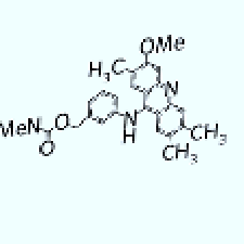 CNC(=O)OCc1cccc(Nc2c3cc(C)c(C)cc3nc3cc(OC)c(C)cc23)c1